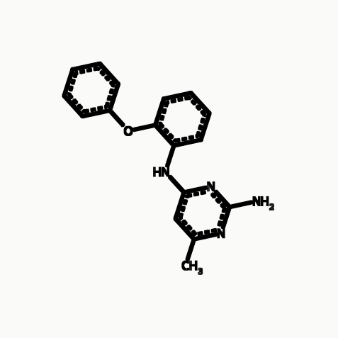 Cc1cc(Nc2ccccc2Oc2ccccc2)nc(N)n1